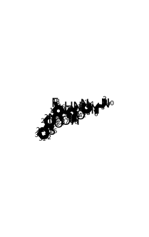 CN(C)CCN(C)c1ccc(Nc2cc(-c3cc(F)cc(N4CCc5c(sc6c5CCCC6)C4=O)c3CO)cn(C)c2=O)nc1